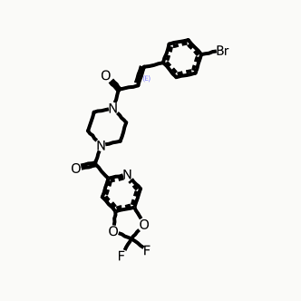 O=C(/C=C/c1ccc(Br)cc1)N1CCN(C(=O)c2cc3c(cn2)OC(F)(F)O3)CC1